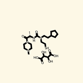 C[C@H](NC(=O)N(CCS)CCC1CCCC1)C(=O)N1CCN(C)CC1.O=C(O)C(O)C(O)C(=O)O